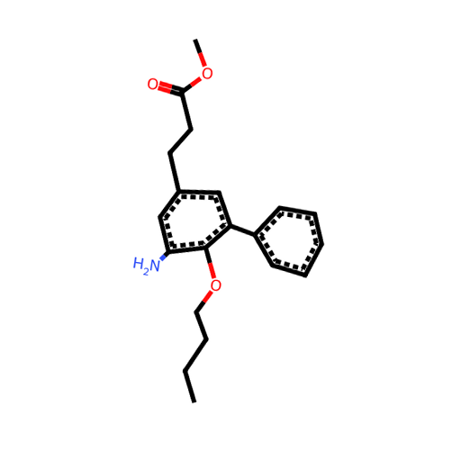 CCCCOc1c(N)cc(CCC(=O)OC)cc1-c1ccccc1